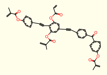 C=CC(=O)Oc1cc(C#Cc2ccc(C(=O)c3ccc(OC(=O)C(=C)C)cc3)cc2)cc(OC(=O)C(=C)C)c1C#Cc1ccc(OC(=O)C(=C)C)cc1